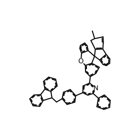 CC1C=CC2=C(C1)C1(c3ccccc3Oc3cc(-c4cc(-c5ccc(CC6c7ccccc7-c7ccccc76)cc5)cc(-c5ccccc5)n4)ccc31)c1ccccc12